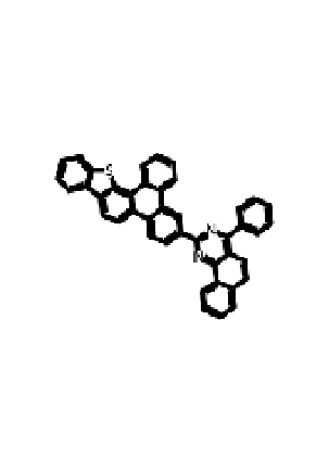 c1ccc(-c2nc(-c3ccc4c(c3)c3ccccc3c3c4ccc4c5ccccc5sc43)nc3c2ccc2ccccc23)cc1